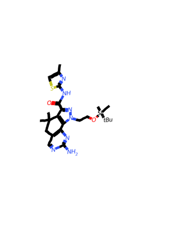 Cc1csc(NC(=O)c2nn(CCO[Si](C)(C)C(C)(C)C)c3c2C(C)(C)Cc2cnc(N)nc2-3)n1